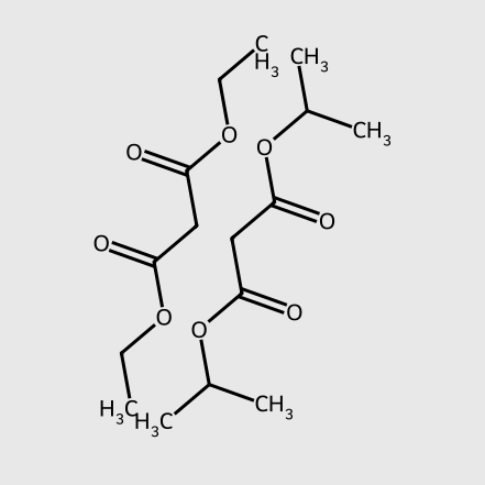 CC(C)OC(=O)CC(=O)OC(C)C.CCOC(=O)CC(=O)OCC